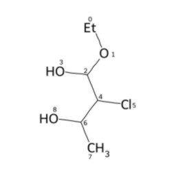 CCOC(O)C(Cl)C(C)O